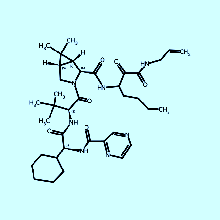 C=CCNC(=O)C(=O)C(CCCC)NC(=O)[C@@H]1[C@@H]2[C@H](CN1C(=O)[C@@H](NC(=O)[C@@H](NC(=O)c1cnccn1)C1CCCCC1)C(C)(C)C)C2(C)C